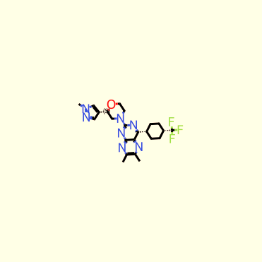 Cc1nc2nc(N3CCO[C@@H](c4cnn(C)c4)C3)nc([C@H]3CC[C@@H](C(F)(F)F)CC3)c2nc1C